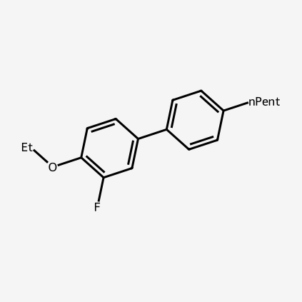 CCCCCc1ccc(-c2ccc(OCC)c(F)c2)cc1